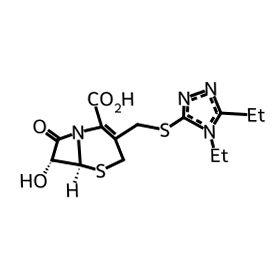 CCc1nnc(SCC2=C(C(=O)O)N3C(=O)[C@@H](O)[C@@H]3SC2)n1CC